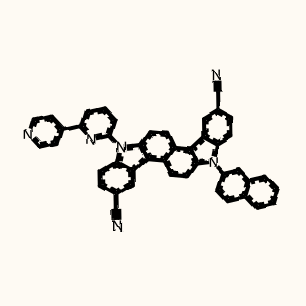 N#Cc1ccc2c(c1)c1c3ccc4c(c3ccc1n2-c1ccc2ccccc2c1)c1cc(C#N)ccc1n4-c1cccc(-c2ccncc2)n1